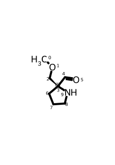 COC[C@]1(C=O)CCCN1